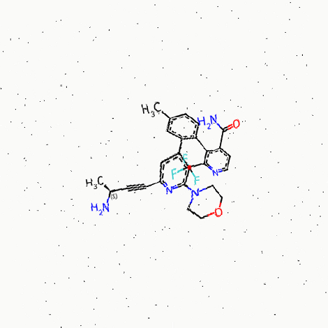 Cc1ccc(-c2c(C(N)=O)ccnc2C(F)(F)F)c(-c2cc(C#C[C@H](C)N)nc(N3CCOCC3)c2)c1